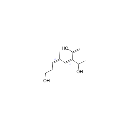 C=C(O)/C(=C\C(C)=C/CCO)C(C)O